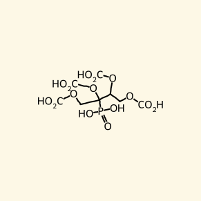 O=C(O)OCC(OC(=O)O)C(COC(=O)O)(OC(=O)O)P(=O)(O)O